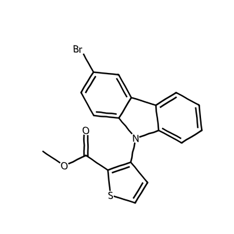 COC(=O)c1sccc1-n1c2ccccc2c2cc(Br)ccc21